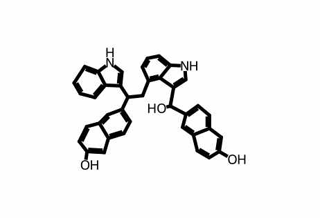 Oc1ccc2cc(C(O)c3c[nH]c4cccc(CC(c5ccc6cc(O)ccc6c5)c5c[nH]c6ccccc56)c34)ccc2c1